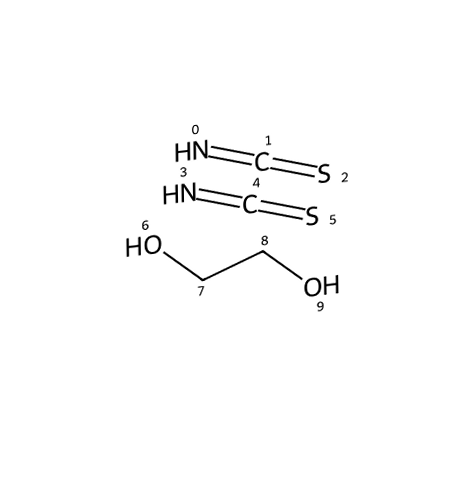 N=C=S.N=C=S.OCCO